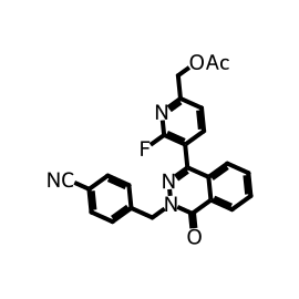 CC(=O)OCc1ccc(-c2nn(Cc3ccc(C#N)cc3)c(=O)c3ccccc23)c(F)n1